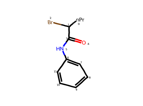 CCCC(Br)C(=O)Nc1ccccc1